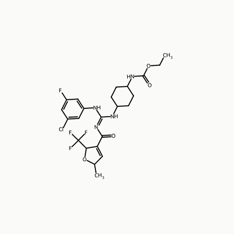 CCOC(=O)NC1CCC(N/C(=N\C(=O)C2=CC(C)OC2C(F)(F)F)Nc2cc(F)cc(Cl)c2)CC1